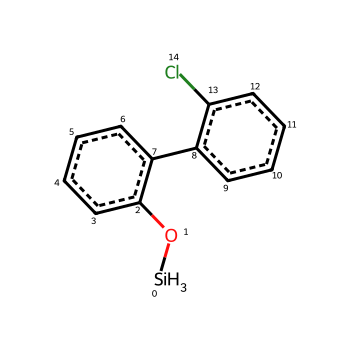 [SiH3]Oc1ccccc1-c1ccccc1Cl